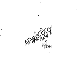 Cc1c(=O)n(C)c(Nc2ccc(I)cc2F)c2c(=O)n(C3CC3)c(=O)n(-c3cccc(NS(=O)(=O)c4cccc(C(F)(F)F)c4)c3)c12.O=C(O)C(F)(F)F